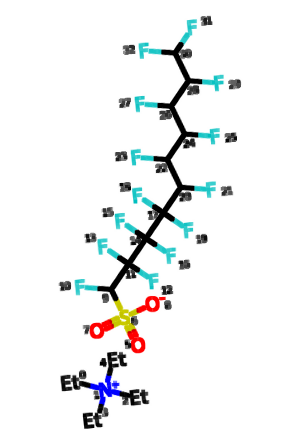 CC[N+](CC)(CC)CC.O=S(=O)([O-])C(F)C(F)(F)C(F)(F)C(F)(F)C(F)C(F)C(F)C(F)C(F)C(F)F